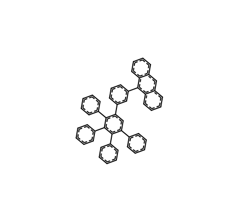 c1ccc(-c2cc(-c3cccc(-c4c5ccccc5cc5ccccc45)c3)c(-c3ccccc3)c(-c3ccccc3)c2-c2ccccc2)cc1